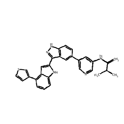 C=C(Nc1cncc(-c2ccc3[nH]nc(-c4cc5c(-c6ccsc6)cccc5[nH]4)c3c2)c1)C(C)C